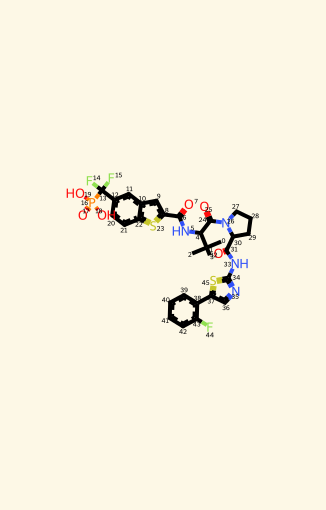 CC(C)(C)C(NC(=O)c1cc2cc(C(F)(F)P(=O)(O)O)ccc2s1)C(=O)N1CCCC1C(=O)Nc1ncc(-c2ccccc2F)s1